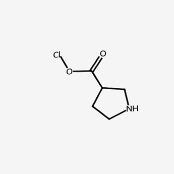 O=C(OCl)C1CCNC1